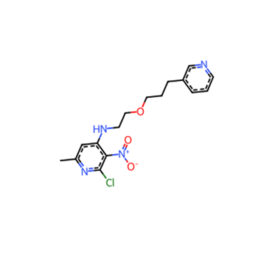 Cc1cc(NCCOCCCc2cccnc2)c([N+](=O)[O-])c(Cl)n1